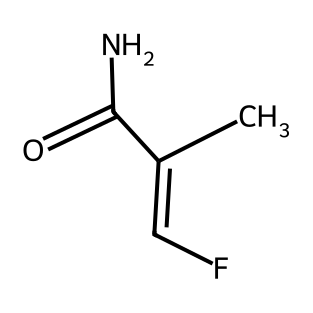 C/C(=C\F)C(N)=O